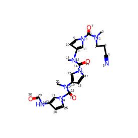 CN(CCC#N)C(=O)n1ccc(N(C)C(=O)n2ccc(N(C)C(=O)n3ccc(NC=O)c3)c2)c1